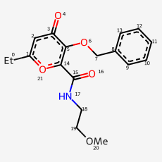 CCc1cc(=O)c(OCc2ccccc2)c(C(=O)NCCOC)o1